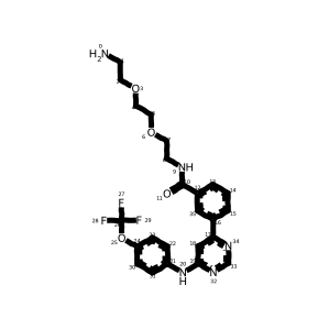 NCCOCCOCCNC(=O)c1cccc(-c2cc(Nc3ccc(OC(F)(F)F)cc3)ncn2)c1